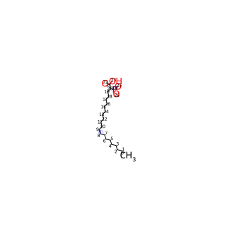 CCCCCCCC/C=C\CCCCCCCCCCC(C(=O)O)P(=O)=O